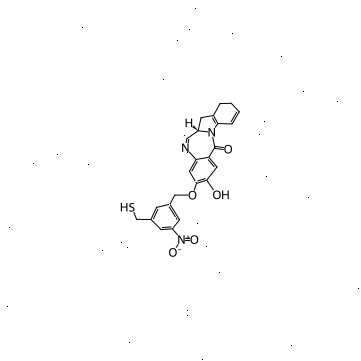 O=C1c2cc(O)c(OCc3cc(CS)cc([N+](=O)[O-])c3)cc2N=C[C@@H]2CC3=C(C=CCC3)N12